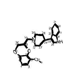 COc1cccc2c1OC(CN1CC=C(c3c[nH]c4ccccc34)CC1)CO2